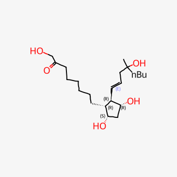 CCCCC(C)(O)C/C=C/[C@@H]1[C@@H](CCCCCCC(=O)CO)[C@@H](O)C[C@H]1O